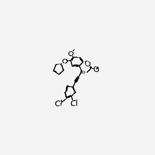 COC(=O)C[C@H](C#Cc1ccc(Cl)c(Cl)c1)c1ccc(OC)c(OC2CCCC2)c1